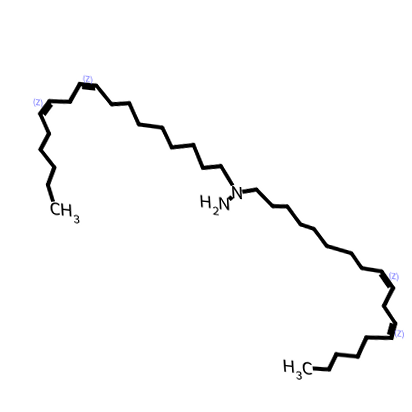 CCCCC/C=C\C/C=C\CCCCCCCCN(N)CCCCCCCC/C=C\C/C=C\CCCCC